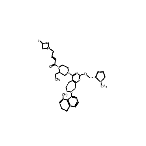 CC1=CCCc2cccc(N3CCCc4c(nc(OC[C@@H]5CCCN5C)nc4N4CCN(C(=O)/C=C/CN5CC(F)C5)C(CC#N)C4)C3)c21